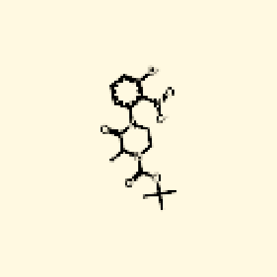 CC1C(=O)N(c2cccc(Br)c2[N+](=O)[O-])CCN1C(=O)OC(C)(C)C